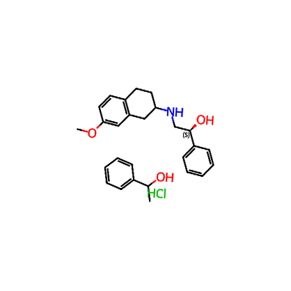 CC(O)c1ccccc1.COc1ccc2c(c1)CC(NC[C@@H](O)c1ccccc1)CC2.Cl